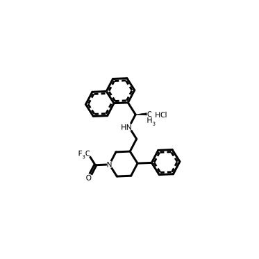 C[C@@H](NCC1CN(C(=O)C(F)(F)F)CCC1c1ccccc1)c1cccc2ccccc12.Cl